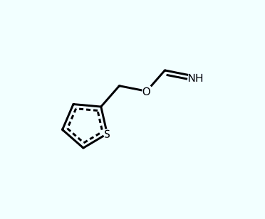 N=COCc1cccs1